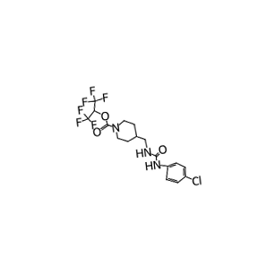 O=C(NCC1CCN(C(=O)OC(C(F)(F)F)C(F)(F)F)CC1)Nc1ccc(Cl)cc1